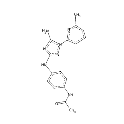 CC(=O)Nc1ccc(Nc2nc(N)n(-c3cccc(C)n3)n2)cc1